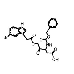 O=C(O)CC(NC(=O)OCc1ccccc1)C(=O)COC(=O)Cc1c[nH]c2ccc(Br)cc12